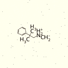 [CH2-][NH2+]CC(C)(C)c1ccccc1